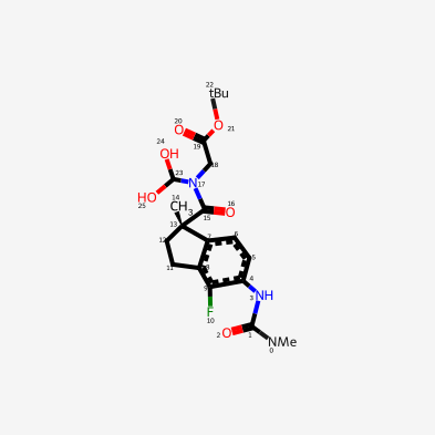 CNC(=O)Nc1ccc2c(c1F)CC[C@]2(C)C(=O)N(CC(=O)OC(C)(C)C)C(O)O